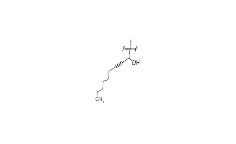 CCCCCCC#CC(O)C(F)(F)F